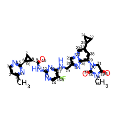 Cc1ccnc([C@H]2C[C@@H]2C(=O)Nc2ncc(F)c(NCc3cn4cc(C5CC5)cc(N5CC(=O)N(C)C5=O)c4n3)n2)n1